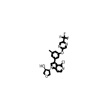 Cc1cc(Oc2cnc(C(F)(F)F)cn2)cc(-c2cn([C@@H]3COC[C@H]3O)c3ccnc(Cl)c23)c1